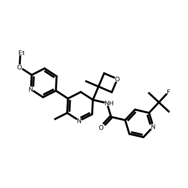 CCOc1ccc(C2=C(C)N=CC(NC(=O)c3ccnc(C(C)(C)F)c3)(C3(C)COC3)C2)cn1